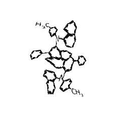 Cc1ccc(N(c2cccc3ccccc23)c2cc(-c3ccccc3)c3ccc4c(N(c5ccc(C)cc5)c5cccc6ccccc56)cc(-c5ccccc5)c5ccc2c3c54)cc1